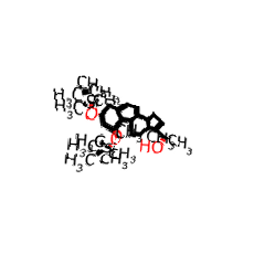 C[C@H](O)C1=CCC2C3=CC=C4C[C@@H](O[Si](C)(C)C(C)(C)C)C[C@H](O[Si](C)(C)C(C)(C)C)[C@]4(C)C3CC[C@]12C